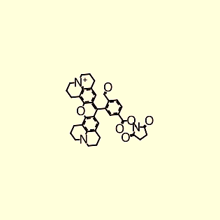 O=Cc1ccc(C(=O)ON2C(=O)CCC2=O)cc1C1=c2cc3c4c(c2Oc2c1cc1c5c2CCCN5CCC1)CCC[N+]=4CCC3